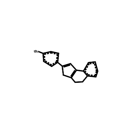 CC(C)(C)c1ccc(C2=CC3=C(CCc4ccccc43)C2)cc1